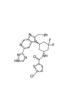 CC(C)Cc1nc2cnc(-c3nc[nH]n3)cc2n1[C@@H]1C[C@H](NC(=O)c2ccc(Cl)s2)CC(F)(F)C1